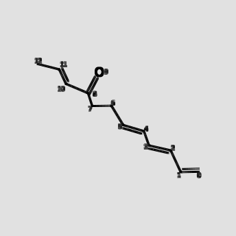 C=CC=CC=CCCC(=O)C=CC